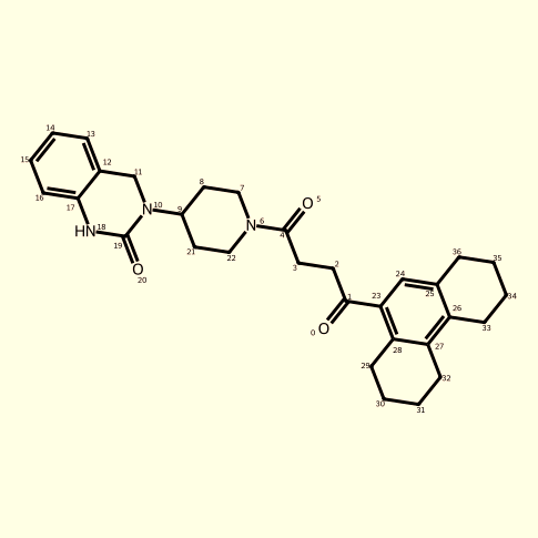 O=C(CCC(=O)N1CCC(N2Cc3ccccc3NC2=O)CC1)c1cc2c(c3c1CCCC3)CCCC2